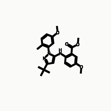 COC(=O)c1cc(OC)ccc1Nc1cc(C(C)(C)C)nn1-c1cc(OC)ccc1C